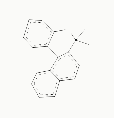 CC1(C)Oc2ccccc2-c2c1ccc1ccccc21